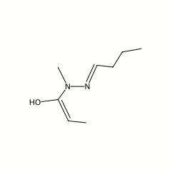 C/C=C(/O)N(C)/N=C/CCC